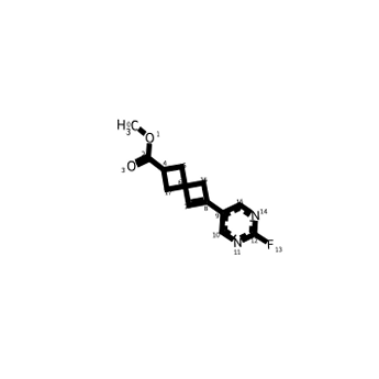 COC(=O)C1CC2(C=C(c3cnc(F)nc3)C2)C1